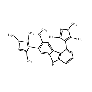 COc1cc2c(cc1-c1c(C)nn(C)c1C)[nH]c1ccnc(-c3c(C)nn(C)c3C)c12